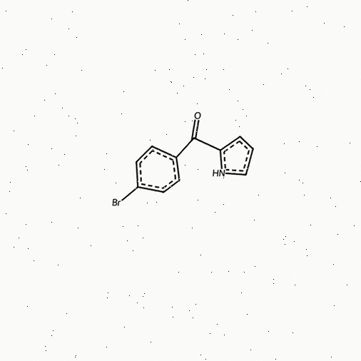 O=C(c1ccc(Br)cc1)c1ccc[nH]1